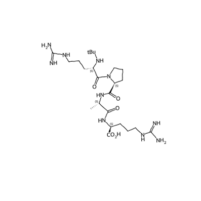 C[C@H](NC(=O)[C@@H]1CCCN1C(=O)[C@H](CCCNC(=N)N)NC(C)(C)C)C(=O)N[C@@H](CCCNC(=N)N)C(=O)O